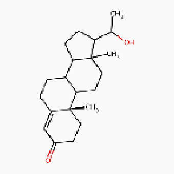 CC(O)C1CCC2C3CCC4=CC(=O)CC[C@@]4(C)C3CCC12C